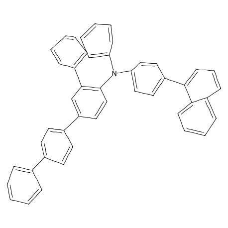 c1ccc(-c2ccc(-c3ccc(N(c4ccccc4)c4ccc(-c5cccc6ccccc56)cc4)c(-c4ccccc4)c3)cc2)cc1